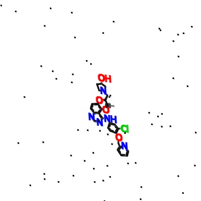 C[C@H](Oc1cccc2ncnc(Nc3ccc(OCc4ccccn4)c(Cl)c3)c12)C(=O)CN1CCC(O)C1